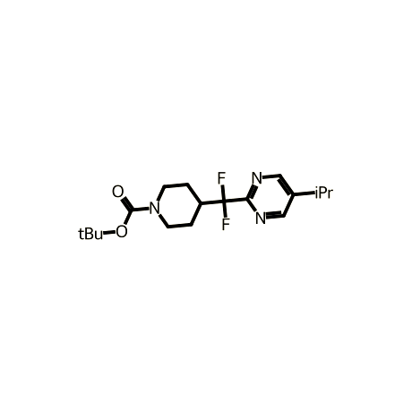 CC(C)c1cnc(C(F)(F)C2CCN(C(=O)OC(C)(C)C)CC2)nc1